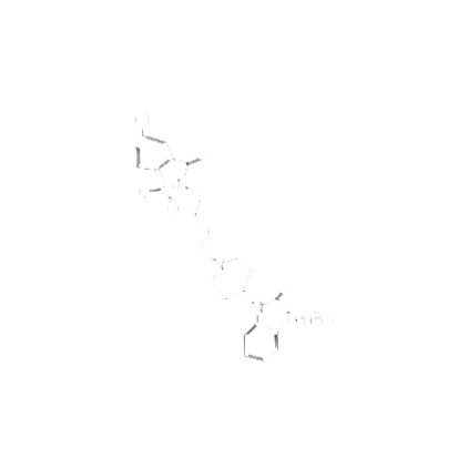 CCCCn1c(=O)n(C2CCN(CCCCN3C(=O)c4cc(Cl)ccc4S3(=O)=O)CC2)c2ccccc21